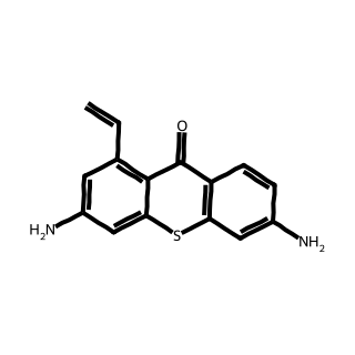 C=Cc1cc(N)cc2sc3cc(N)ccc3c(=O)c12